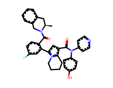 C[C@@H]1Cc2ccccc2CN1C(=O)c1ccc(F)cc1-c1cc(C(=O)N(c2ccncc2)c2ccc(O)cc2)c2n1CCCC2